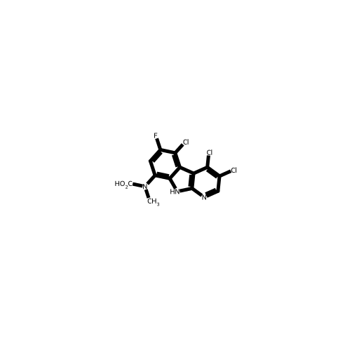 CN(C(=O)O)c1cc(F)c(Cl)c2c1[nH]c1ncc(Cl)c(Cl)c12